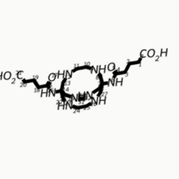 O=C(O)CCCC(=O)NC12CNCCNCC(NC(=O)CCCC(=O)O)(CNCCNC1)CNCCNC2